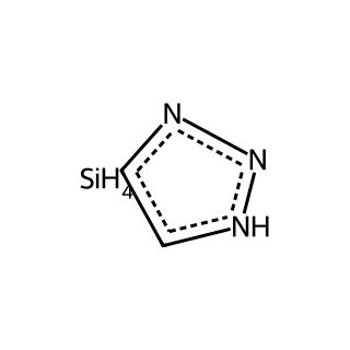 [SiH4].c1c[nH]nn1